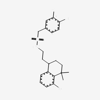 CC1(C)CCC(CCNS(=O)(=O)Cc2ccc(Cl)c(Cl)c2)c2cccc(Br)c21